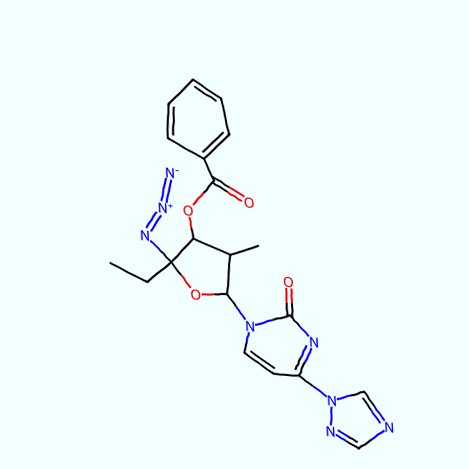 CCC1(N=[N+]=[N-])OC(n2ccc(-n3cncn3)nc2=O)C(C)C1OC(=O)c1ccccc1